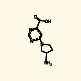 NC1CCN(c2cc(C(=O)O)ncn2)C1